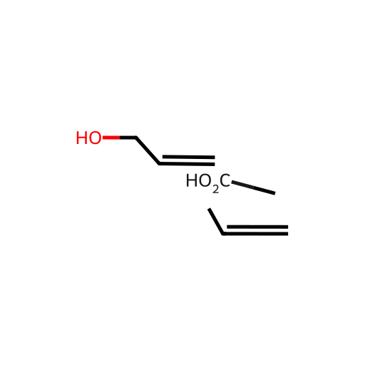 C=CC.C=CCO.CC(=O)O